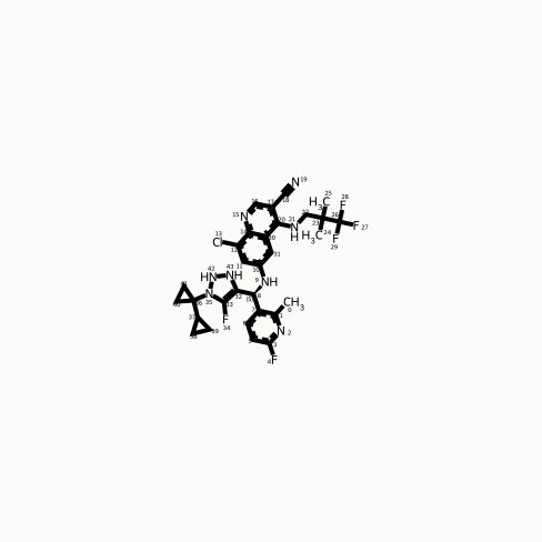 Cc1nc(F)ccc1[C@H](Nc1cc(Cl)c2ncc(C#N)c(NCC(C)(C)C(F)(F)F)c2c1)C1=C(F)N(C2(C3CC3)CC2)NN1